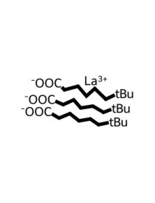 CC(C)(C)CCCCCC(=O)[O-].CC(C)(C)CCCCCC(=O)[O-].CC(C)(C)CCCCCC(=O)[O-].[La+3]